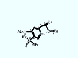 COc1cc(CC(=O)OC(C)(C)C)ncc1[Si](F)(C(C)C)C(C)C